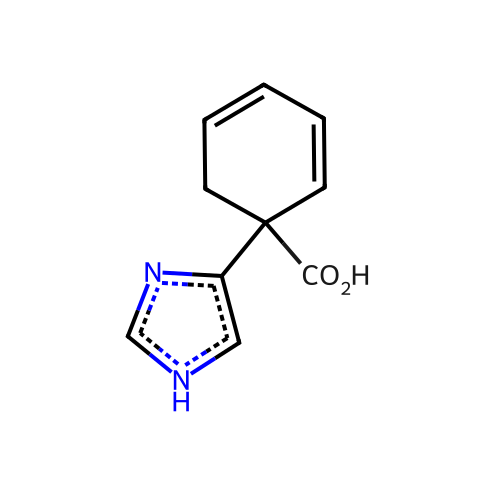 O=C(O)C1(c2c[nH]cn2)C=CC=CC1